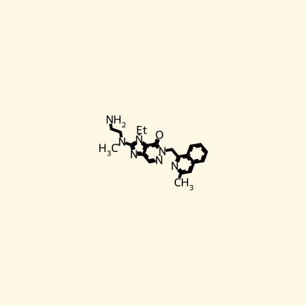 CCn1c(N(C)CCN)nc2cnn(Cc3nc(C)cc4ccccc34)c(=O)c21